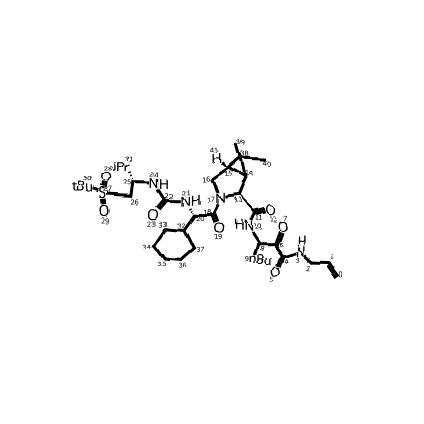 C=CCNC(=O)C(=O)C(CCCC)NC(=O)[C@@H]1C2[C@H](CN1C(=O)[C@@H](NC(=O)N[C@H](CS(=O)(=O)C(C)(C)C)C(C)C)C1CCCCC1)C2(C)C